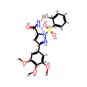 COc1cc(-c2cc(C(N)=O)n(S(=O)(=O)c3ccccc3Br)n2)cc(OC)c1OC